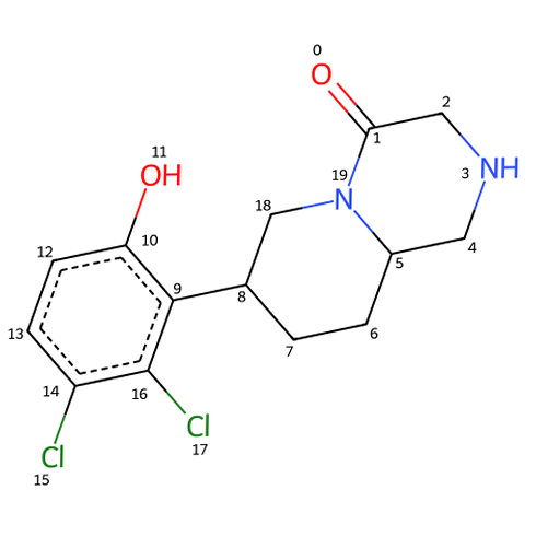 O=C1CNCC2CCC(c3c(O)ccc(Cl)c3Cl)CN12